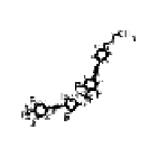 CCCCc1ccc(C#Cc2cc(F)c(C(F)(F)Oc3cc(F)c(C#Cc4cc(F)c(C(F)(F)F)c(F)c4)c(F)c3)c(F)c2)cc1